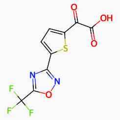 O=C(O)C(=O)c1ccc(-c2noc(C(F)(F)F)n2)s1